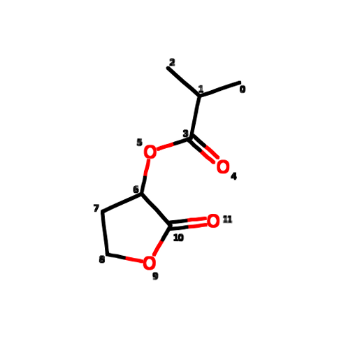 CC(C)C(=O)OC1CCOC1=O